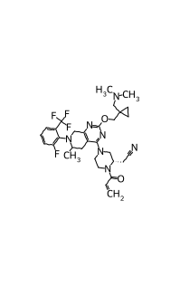 C=CC(=O)N1CCN(c2nc(OCC3(CN(C)C)CC3)nc3c2CC(C)N(c2c(F)cccc2C(F)(F)F)C3)C[C@@H]1CC#N